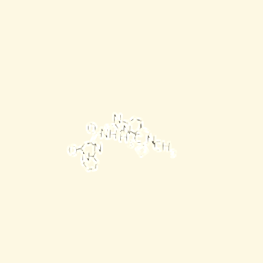 CN(Cc1ccc2nc(CNC(=O)c3cc(=O)n4ccccc4n3)cn2c1)C1(C)CCC1